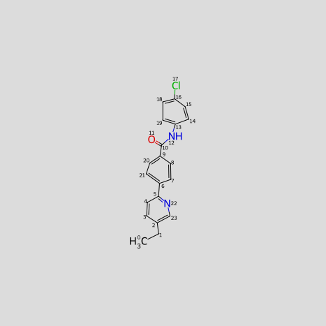 CCc1ccc(-c2ccc(C(=O)Nc3ccc(Cl)cc3)cc2)nc1